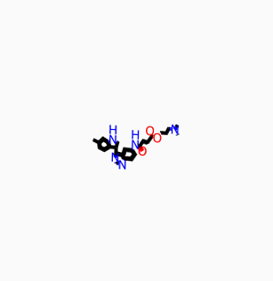 Cc1ccc2c(c1)NCC2c1ncnc2ccc(NC(=O)C=CC(=O)OCCCN(C)C)cc12